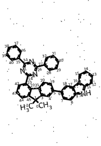 CC1(C)c2cc(-c3ccc4[nH]c5ccccc5c4c3)ccc2-c2c(-c3nc(-c4ccccc4)nc(-c4ccccc4)n3)cccc21